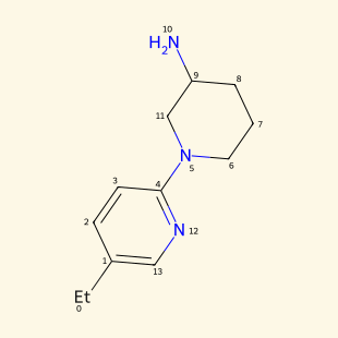 CCc1ccc(N2CCCC(N)C2)nc1